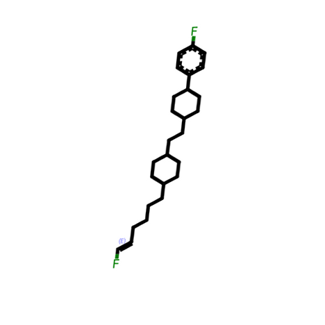 F/C=C/CCCCC1CCC(CCC2CCC(c3ccc(F)cc3)CC2)CC1